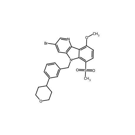 COc1ccc(S(C)(=O)=O)c2c1c1ncc(Br)cc1n2Cc1cccc(C2CCOCC2)c1